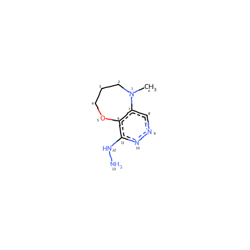 CN1CCCOc2c1cnnc2NN